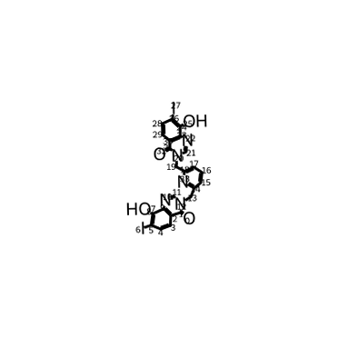 O=c1c2ccc(I)c(O)c2ncn1Cc1cccc(Cn2cnc3c(O)c(I)ccc3c2=O)n1